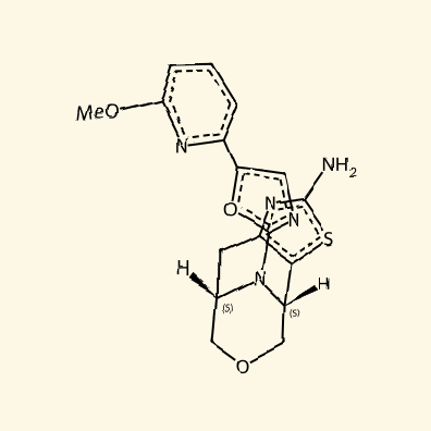 COc1cccc(-c2cnc(N3[C@@H]4COC[C@H]3c3sc(N)nc3C4)o2)n1